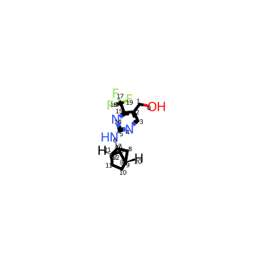 OCc1cnc(N[C@@H]2C[C@@H]3CC[C@@H]2C3)nc1C(F)(F)F